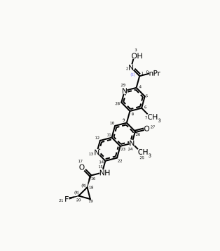 CCC/C(=N\O)c1cc(C)c(-c2cc3cnc(NC(=O)[C@H]4C[C@H]4F)cc3n(C)c2=O)cn1